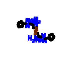 N[C@@H](CSSC[C@H](N)c1nc(-c2ccccc2)n[nH]1)c1nc(-c2ccccc2)n[nH]1